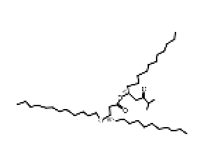 CCCCCCCCCCCCO[C@@H](CCCCCCCCCCC)CC(=O)O[C@@H](CCCCCCCCCCC)CC(=O)C(C)C